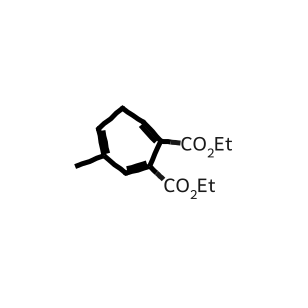 CCOC(=O)C1=CCC=C(C)C=C1C(=O)OCC